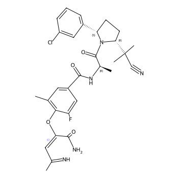 CC(=N)/C=C(/Oc1c(C)cc(C(=O)N[C@H](C)C(=O)N2[C@H](c3cccc(Cl)c3)CC[C@@H]2C(C)(C)C#N)cc1F)C(N)=O